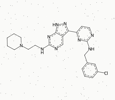 Clc1cccc(CNc2nccc(-c3n[nH]c4nc(NCCN5CCCCC5)ncc34)n2)c1